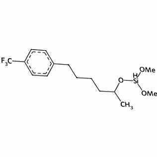 CO[SiH](OC)OC(C)CCCCc1ccc(C(F)(F)F)cc1